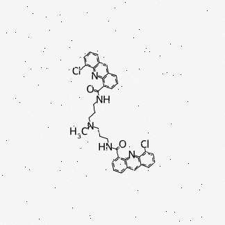 CN(CCCNC(=O)c1cccc2cc3cccc(Cl)c3nc12)CCCNC(=O)c1cccc2cc3cccc(Cl)c3nc12